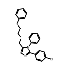 Oc1ccc(-c2nnc(CSCCOc3ccccc3)n2-c2ccccc2)cc1